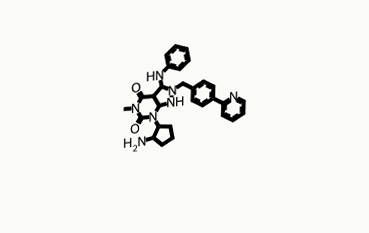 CN1C(=O)C2C(Nc3ccccc3)N(Cc3ccc(-c4ccccn4)cc3)NC2N(C2CCCC2N)C1=O